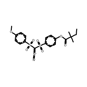 CCC(C)(C)C(=O)Oc1ccc(S(=O)(=O)C(=[N+]=[N-])S(=O)(=O)c2ccc(OC)cc2)cc1